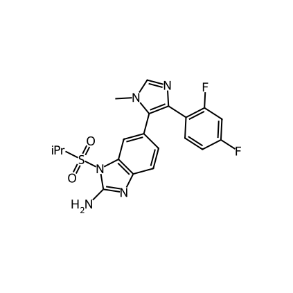 CC(C)S(=O)(=O)n1c(N)nc2ccc(-c3c(-c4ccc(F)cc4F)ncn3C)cc21